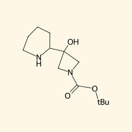 CC(C)(C)OC(=O)N1CC(O)(C2CCCCN2)C1